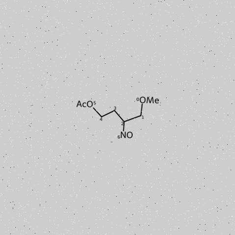 COCC(CCOC(C)=O)N=O